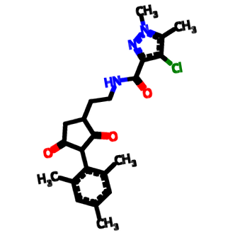 Cc1cc(C)c(C2C(=O)CC(CCNC(=O)c3nn(C)c(C)c3Cl)C2=O)c(C)c1